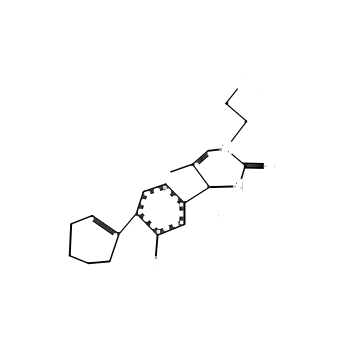 CC(C)C1=CN(CCC(=O)O)C(=O)N[C@@]1(C)c1ccc(C2=CCCCC2)c(Cl)c1